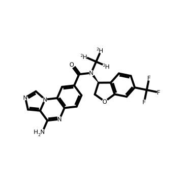 [2H]C([2H])([2H])N(C(=O)c1ccc2nc(N)c3cncn3c2c1)[C@@H]1COc2cc(C(F)(F)F)ccc21